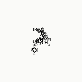 CC1CN(C(=O)OCc2ccccc2)CCN1c1nc(Cl)nc2c1CN(C(=O)OC(C)(C)C)C2